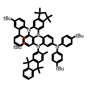 Cc1cc2c(cc1N1c3cc(N(c4ccc(C(C)(C)C)cc4)c4ccc(C(C)(C)C)cc4)ccc3B3c4cc5c(cc4N(c4ccc(C(C)(C)C)cc4-c4ccccc4)c4cc(C(C)(C)C)cc1c43)C(C)(C)CC5(C)C)C(C)(C)c1ccccc1C2(C)C